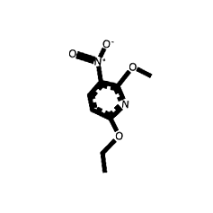 CCOc1ccc([N+](=O)[O-])c(OC)n1